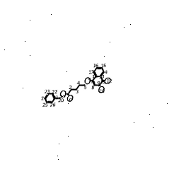 O=C(CCCCOC1=CC(=O)C(=O)c2ccccc21)OCc1ccccc1